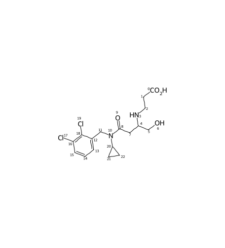 O=C(O)CCNC(CO)CC(=O)N(Cc1cccc(Cl)c1Cl)C1CC1